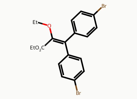 CCOC(=O)C(OCC)=C(c1ccc(Br)cc1)c1ccc(Br)cc1